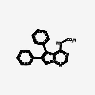 O=C(O)Nc1ncnn2cc(-c3ccccc3)c(-c3ccccc3)c12